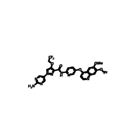 COc1cc2c(Oc3ccc(NC(=O)c4nn(-c5cnc(N)nc5)cc4OCC(F)(F)F)nc3)ccnc2cc1OC(C)C